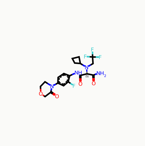 NC(=O)[C@@H](C(=O)Nc1ccc(N2CCOCC2=O)cc1F)N(CC(F)(F)F)C1CCC1